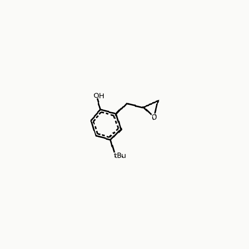 CC(C)(C)c1ccc(O)c(CC2CO2)c1